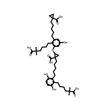 CC(C)(CCCCc1c(CCCCCC2(C(=O)O)CC2)cc(O)cc1OC1CC1(CCCCCc1c(O)ccc(O)c1CCCCC(C)(C)C(=O)O)C(=O)O)C(=O)O